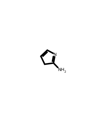 NC1=NC=CC1